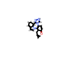 O=C1C=CC2=C(C1CC1CC1)n1ccc3c1=C(CCC=3)c1nncn12